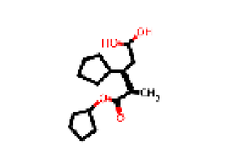 CC(C(=O)OC1CCCC1)=C(CC(O)O)C1CCCC1